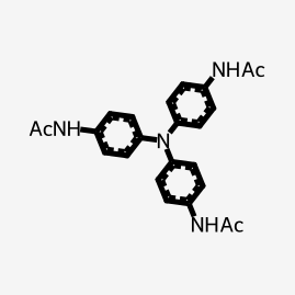 CC(=O)Nc1ccc(N(c2ccc(NC(C)=O)cc2)c2ccc(NC(C)=O)cc2)cc1